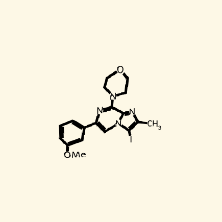 COc1cccc(-c2cn3c(I)c(C)nc3c(N3CCOCC3)n2)c1